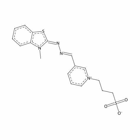 Cn1/c(=N\N=C\c2ccc[n+](CCCS(=O)(=O)[O-])c2)sc2ccccc21